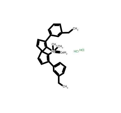 CCc1cccc(C2=[C]([Hf]([CH3])([CH3])(=[GeH2])[C]3=C(c4cccc(CC)c4)C=CC3)CC=C2)c1.Cl.Cl